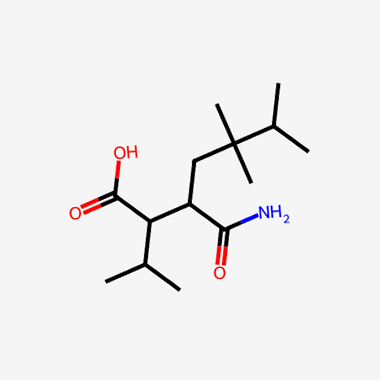 CC(C)C(C(=O)O)C(CC(C)(C)C(C)C)C(N)=O